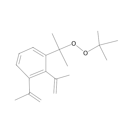 C=C(C)c1cccc(C(C)(C)OOC(C)(C)C)c1C(=C)C